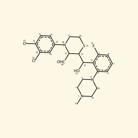 CN1CCN(c2cccc(F)c2C(O)C2SCCN(c3ccc(Cl)c(Cl)c3)C2C=O)CC1